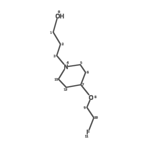 OCCCN1CCC(OCCF)CC1